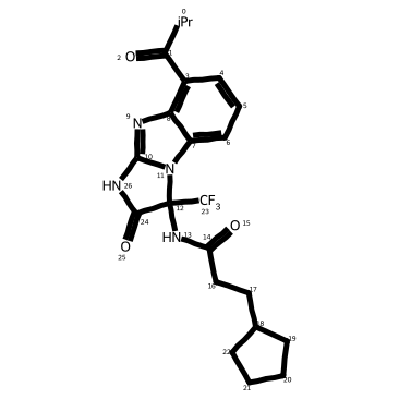 CC(C)C(=O)c1cccc2c1nc1n2C(NC(=O)CCC2CCCC2)(C(F)(F)F)C(=O)N1